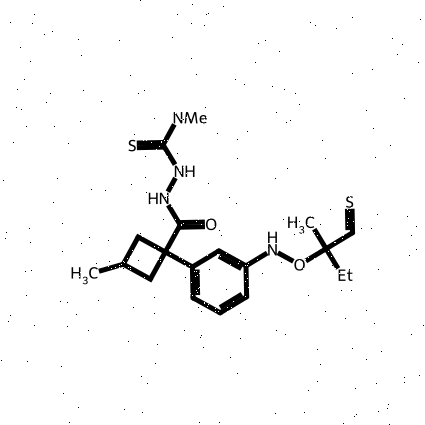 CCC(C)(C=S)ONc1cccc(C2(C(=O)NNC(=S)NC)CC(C)C2)c1